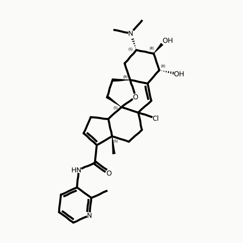 Cc1ncccc1NC(=O)C1=CCC2[C@@]34CC[C@]5(C[C@H](N(C)C)[C@@H](O)[C@H](O)C5=CC3(Cl)CC[C@]12C)O4